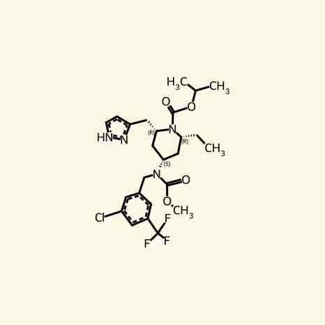 CC[C@@H]1C[C@H](N(Cc2cc(Cl)cc(C(F)(F)F)c2)C(=O)OC)C[C@H](Cc2cc[nH]n2)N1C(=O)OC(C)C